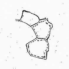 c1ccc2c3c(ncc2c1)CCN3